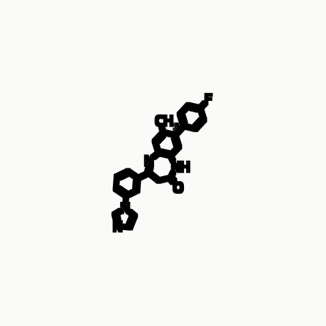 Cc1cc2c(cc1-c1ccc(F)cc1)NC(=O)CC(c1cccc(-n3ccnc3)c1)=N2